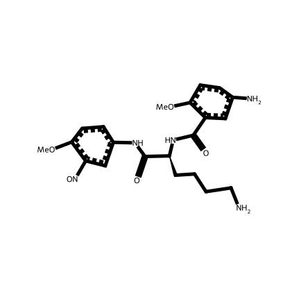 COc1ccc(NC(=O)[C@H](CCCCN)NC(=O)c2cc(N)ccc2OC)cc1N=O